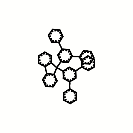 c1ccc(-c2cc(-c3ccccc3)cc(C3(c4cc(-c5ccccc5)cc(-c5ccccc5)c4)c4ccccc4-c4ccccc43)c2)cc1